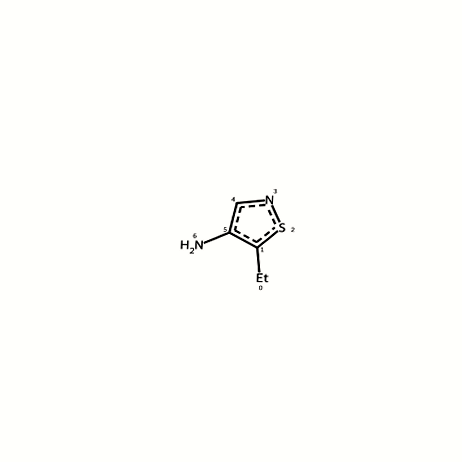 CCc1sncc1N